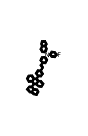 Fc1ccc(N(c2ccc(/C=C/c3ccc(-c4c5ccccc5c(-c5cccc6ccccc56)c5ccccc45)cc3)cc2)c2ccc3ccccc3c2)cc1